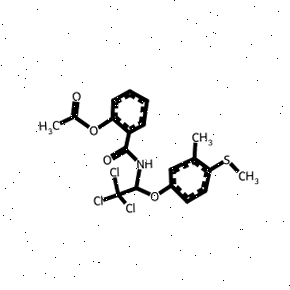 CSc1ccc(OC(NC(=O)c2ccccc2OC(C)=O)C(Cl)(Cl)Cl)cc1C